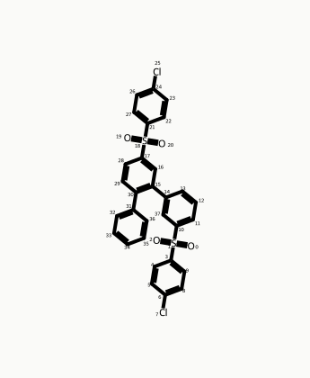 O=S(=O)(c1ccc(Cl)cc1)c1cccc(-c2cc(S(=O)(=O)c3ccc(Cl)cc3)ccc2-c2ccccc2)c1